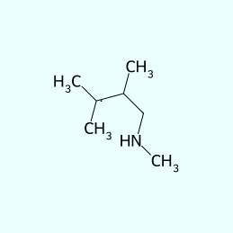 CNCC(C)[C](C)C